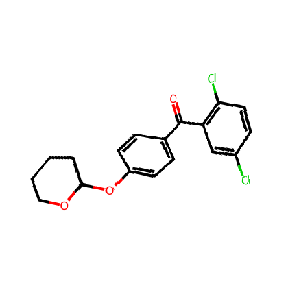 O=C(c1ccc(OC2CCCCO2)cc1)c1cc(Cl)ccc1Cl